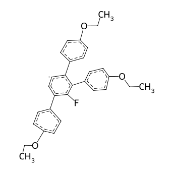 CCOc1ccc(-c2[c]cc(-c3ccc(OCC)cc3)c(F)c2-c2ccc(OCC)cc2)cc1